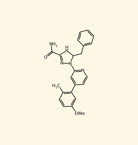 COc1ccc(C)c(-c2ccnc(N3N=C(C(N)=O)NC3Cc3ccccc3)c2)c1